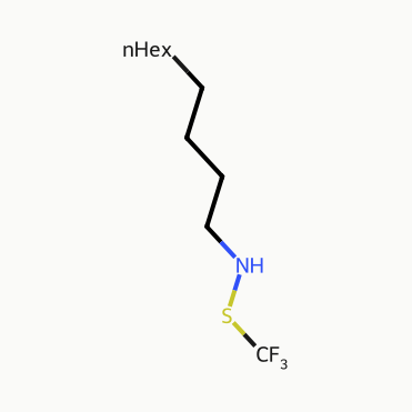 CCCCCCCCCCNSC(F)(F)F